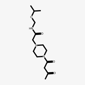 CC(=O)CC(=O)N1CCN(CC(=O)NCOC(C)C)CC1